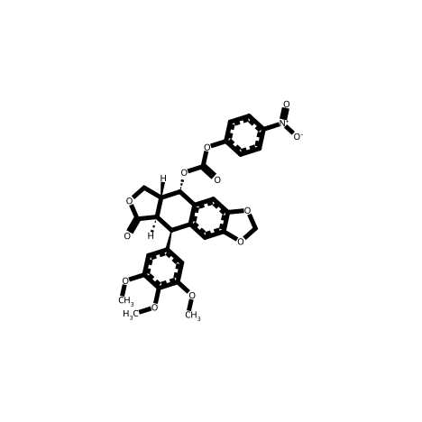 COc1cc([C@@H]2c3cc4c(cc3[C@@H](OC(=O)Oc3ccc([N+](=O)[O-])cc3)[C@H]3COC(=O)[C@H]23)OCO4)cc(OC)c1OC